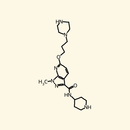 Cn1nc(C(=O)NC2CCNCC2)c2ccc(OCCCN3CCNCC3)nc21